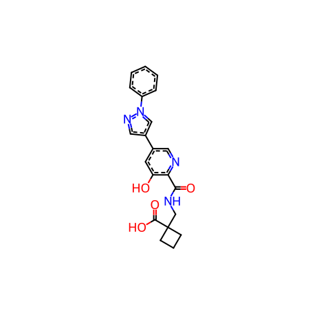 O=C(NCC1(C(=O)O)CCC1)c1ncc(-c2cnn(-c3ccccc3)c2)cc1O